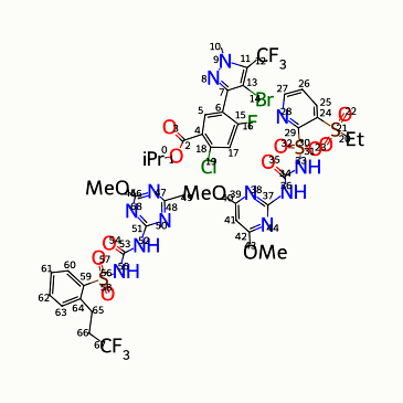 CC(C)OC(=O)c1cc(-c2nn(C)c(C(F)(F)F)c2Br)c(F)cc1Cl.CCS(=O)(=O)c1cccnc1S(=O)(=O)NC(=O)Nc1nc(OC)cc(OC)n1.COc1nc(C)nc(NC(=O)NS(=O)(=O)c2ccccc2CCC(F)(F)F)n1